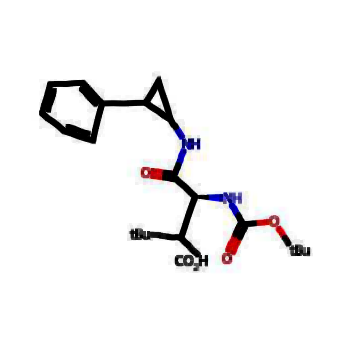 CC(C)(C)OC(=O)N[C@H](C(=O)NC1CC1c1ccccc1)C(C(=O)O)C(C)(C)C